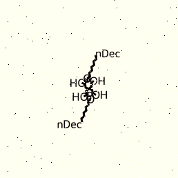 CCCCCCCCCCCCCCCCCCOP1C(O)CC2(CC1O)CC(O)P(OCCCCCCCCCCCCCCCCCC)C(O)C2